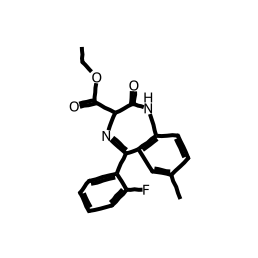 CCOC(=O)C1N=C(c2ccccc2F)c2cc(C)ccc2NC1=O